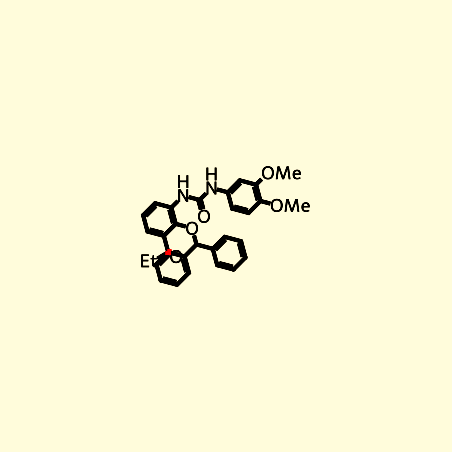 CCC(=O)c1cccc(NC(=O)Nc2ccc(OC)c(OC)c2)c1OC(c1ccccc1)c1ccccc1